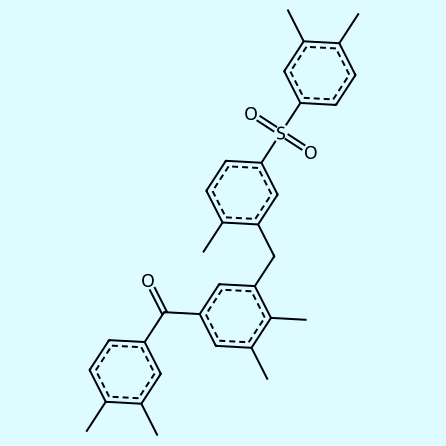 Cc1ccc(C(=O)c2cc(C)c(C)c(Cc3cc(S(=O)(=O)c4ccc(C)c(C)c4)ccc3C)c2)cc1C